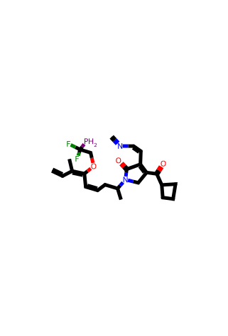 C=C/C(C)=C(\C=C/CC(C)N1CC(C(=O)C2CCC2)=C(/C=C\N=C)C1=O)OCC(F)(F)P